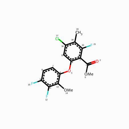 COC(=O)c1c(Oc2ccc(F)c(F)c2OC)cc(Cl)c(C)c1F